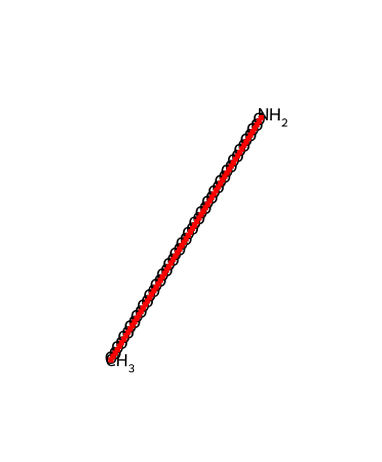 COCCOCCOCCOCCOCCOCCOCCOCCOCCOCCOCCOCCOCCOCCOCCOCCOCCOCCOCCOCCOCCOCCOCCOCCOCCOCCOCCOCCOCCOCCOCCOCCOCCOCCOCCOCCOCCOCCOCCOCCOCCOCCOCCOCCOCCOCCOCCN